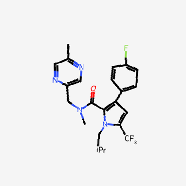 Cc1cnc(CN(C)C(=O)c2c(-c3ccc(F)cc3)cc(C(F)(F)F)n2CC(C)C)cn1